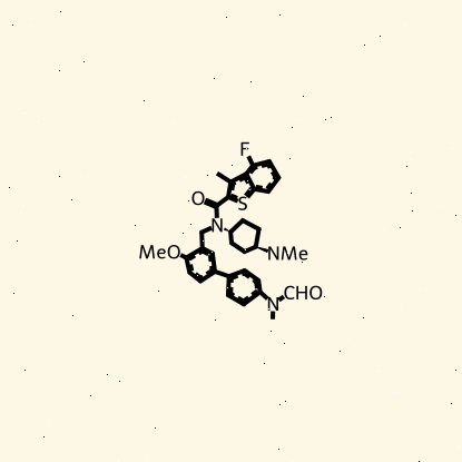 CN[C@H]1CC[C@H](N(Cc2cc(-c3ccc(N(C)C=O)cc3)ccc2OC)C(=O)c2sc3cccc(F)c3c2C)CC1